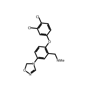 CNCc1cc(N2C=NOC2)ccc1Oc1ccc(Cl)c(Cl)c1